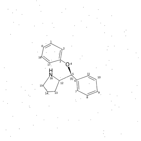 c1ccc(O[C@@H](c2ccccc2)C2CCCN2)cc1